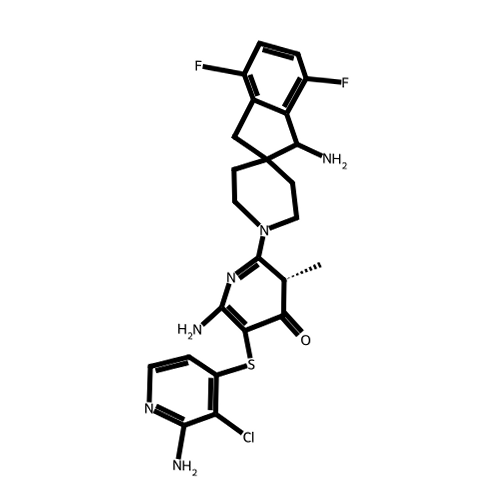 C[C@@H]1C(=O)C(Sc2ccnc(N)c2Cl)=C(N)N=C1N1CCC2(CC1)Cc1c(F)ccc(F)c1C2N